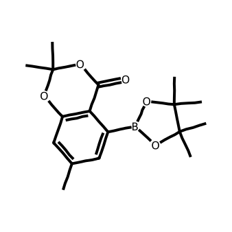 Cc1cc2c(c(B3OC(C)(C)C(C)(C)O3)c1)C(=O)OC(C)(C)O2